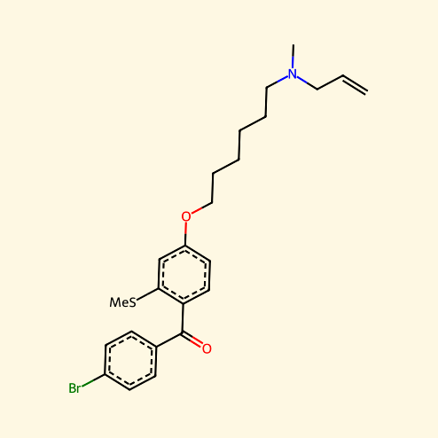 C=CCN(C)CCCCCCOc1ccc(C(=O)c2ccc(Br)cc2)c(SC)c1